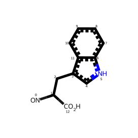 O=NC(Cc1c[nH]c2ccccc12)C(=O)O